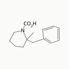 CC1(Cc2ccccc2)CCCCN1C(=O)O